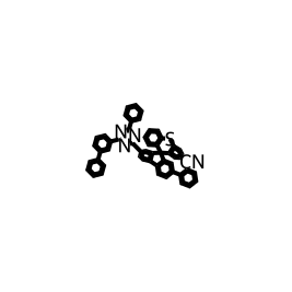 N#Cc1ccccc1-c1ccc2c(c1)C1(c3ccccc3Sc3ccccc31)c1cc(-c3nc(-c4ccccc4)nc(-c4cccc(-c5ccccc5)c4)n3)ccc1-2